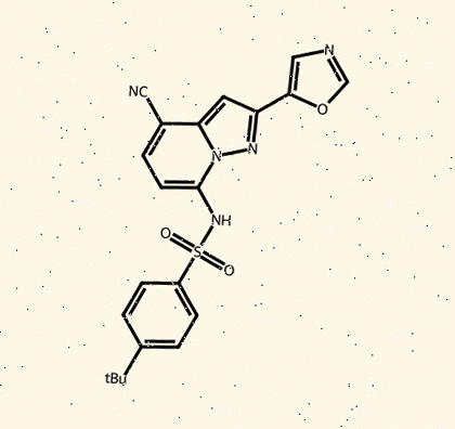 CC(C)(C)c1ccc(S(=O)(=O)Nc2ccc(C#N)c3cc(-c4cnco4)nn23)cc1